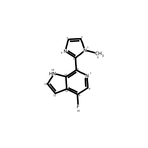 Cn1ccnc1-c1ncc(F)c2cc[nH]c12